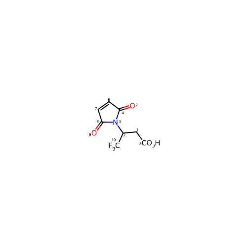 O=C(O)CC(N1C(=O)C=CC1=O)C(F)(F)F